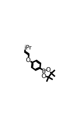 CC(C)C=COc1ccc(B2OC(C)(C)C(C)(C)O2)cc1